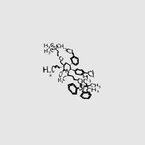 C=CC[C@]1(COCC[Si](C)(C)C)C[C@H](c2cccc(Cl)c2)[C@@H](c2ccc(Cl)cc2)N([C@@H](C)CCO[Si](c2ccccc2)(c2ccccc2)C(C)(C)C)C1=O